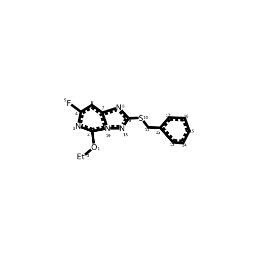 CCOc1nc(F)cc2nc(SCc3ccccc3)nn12